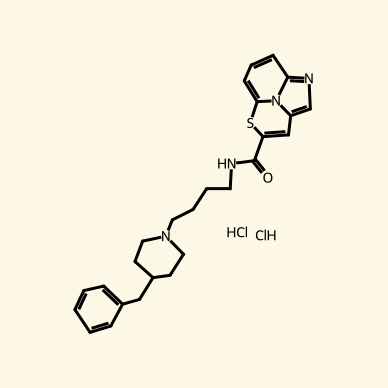 Cl.Cl.O=C(NCCCCN1CCC(Cc2ccccc2)CC1)C1=Cc2cnc3cccc(n23)S1